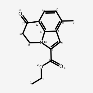 CCOC(=O)c1cc2c(C)ccc3c2n1CCC3=O